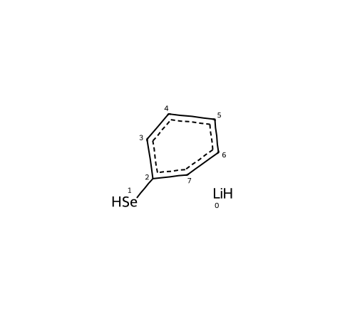 [LiH].[SeH]c1ccccc1